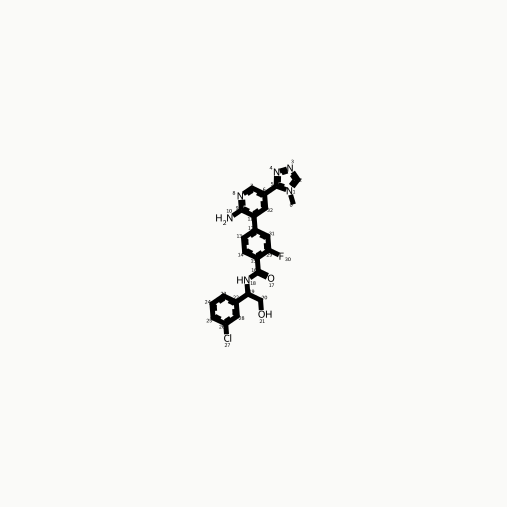 Cn1cnnc1-c1cnc(N)c(-c2ccc(C(=O)NC(CO)c3cccc(Cl)c3)c(F)c2)c1